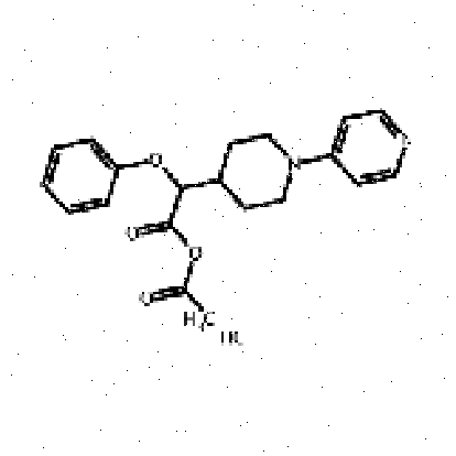 CC(=O)OC(=O)C(Oc1ccccc1)C1CCN(c2ccncc2)CC1.Cl